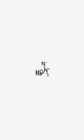 C=[N+]=[N-].[Na+].[OH-]